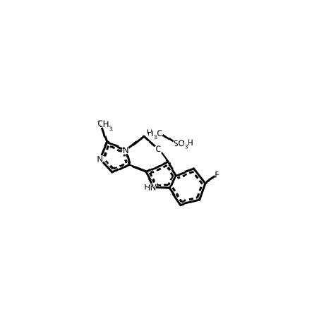 CS(=O)(=O)O.Cc1ncc2n1CCc1c-2[nH]c2ccc(F)cc12